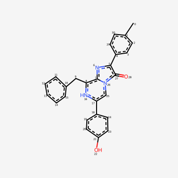 Cc1ccc(-c2nc3c(Cc4ccccc4)[nH]c(-c4ccc(O)cc4)cn-3c2=O)cc1